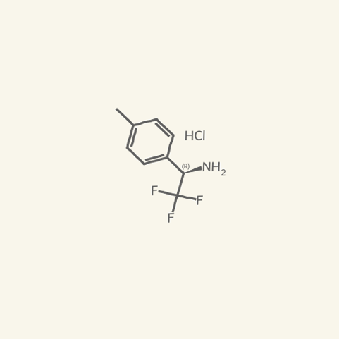 Cc1ccc([C@@H](N)C(F)(F)F)cc1.Cl